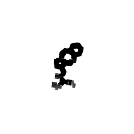 CC(C)NCC1=CCn2ccc3c(occ21)CCC=C3